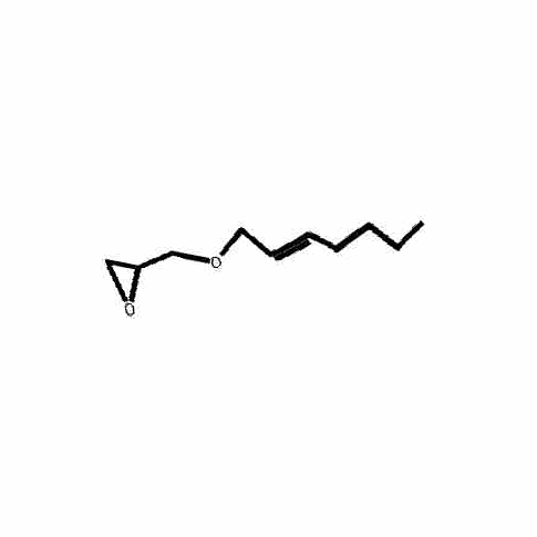 CCCCC=CCOCC1CO1